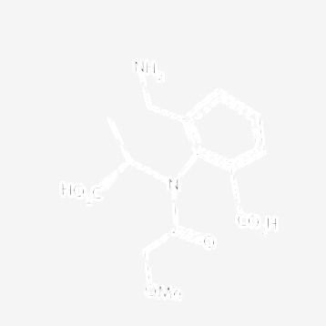 COCC(=O)N(c1c(CN)cccc1C(=O)O)[C@@H](C)C(=O)O